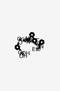 CCOc1nc2cccc(C(=O)O)c2n1Cc1ccc(-c2ccccc2-c2nnn(COC(=O)OCc3cccc(CON(O)O)c3)n2)cc1